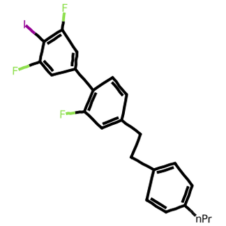 CCCc1ccc(CCc2ccc(-c3cc(F)c(I)c(F)c3)c(F)c2)cc1